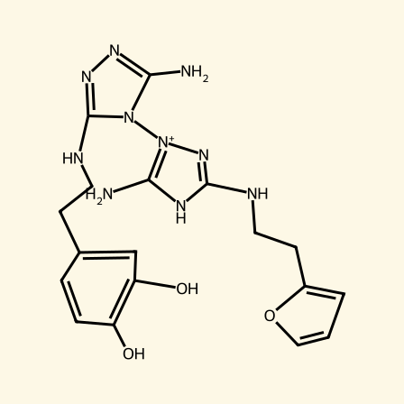 Nc1nnc(NCCc2ccc(O)c(O)c2)n1-[n+]1nc(NCCc2ccco2)[nH]c1N